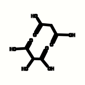 O=C(O)C(O)C(=O)O.O=C(O)CC(=O)O